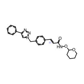 O=C(/C=C/c1ccc(Cn2cc(-c3ccccc3)nn2)cc1)NOC1CCCCO1